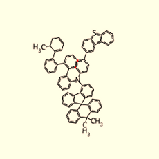 CC1CC=CC=C1c1ccccc1-c1ccccc1-c1ccccc1N(c1ccc(-c2ccc3sc4ccccc4c3c2)cc1)c1cccc2c1-c1ccccc1C21c2ccccc2C(C)(C)c2ccccc21